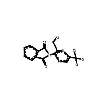 O=C1c2ccccc2C(=O)N1c1ncc(C(Cl)(Cl)Cl)nc1CCl